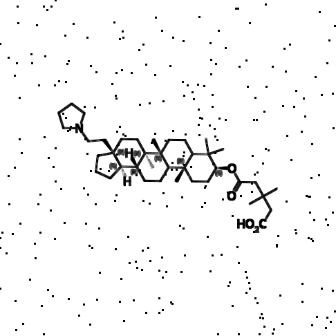 CC(C)(CC(=O)O)CC(=O)O[C@H]1CC[C@@]2(C)C(CC[C@]3(C)C2CC[C@@H]2[C@H]4CCC[C@]4(CCN4CCCC4)CC[C@]23C)C1(C)C